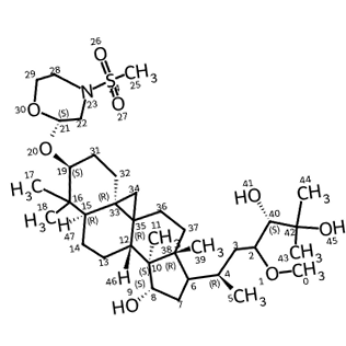 COC(C[C@@H](C)C1C[C@H](O)[C@@]2(C)[C@@H]3CC[C@H]4C(C)(C)[C@@H](O[C@H]5CN(S(C)(=O)=O)CCO5)CC[C@@]45CC35CC[C@]12C)[C@H](O)C(C)(C)O